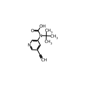 C#Cc1cncc(N(C(=O)O)C(C)(C)C)c1